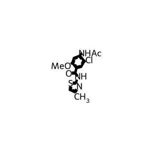 COc1cc(NC(C)=O)c(Cl)cc1C(=O)Nc1nc(C)cs1